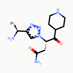 CC(C)[C@H](N)c1cn([C@@H](CC(N)=O)C(=O)C2CCNCC2)nn1